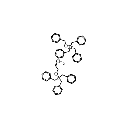 C=CC[O][Zr]([CH2]c1ccccc1)([CH2]c1ccccc1)[CH2]c1ccccc1.c1ccc(C[O][Zr]([CH2]c2ccccc2)([CH2]c2ccccc2)[CH2]c2ccccc2)cc1